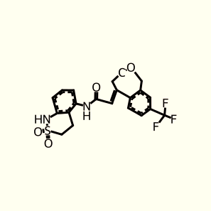 O=C(C=C1CCOCc2cc(C(F)(F)F)ccc21)Nc1cccc2c1CCS(=O)(=O)N2